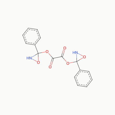 O=C(OC1(c2ccccc2)NO1)C(=O)OC1(c2ccccc2)NO1